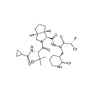 CCC(C)(C)[C@H](NC(=O)C1CC1)C(=O)N1C[C@@H]2CCC[C@@H]2[C@H]1C(=O)NN(C[C@@H]1CCCNC1=O)C(=O)[C@H](F)Cl